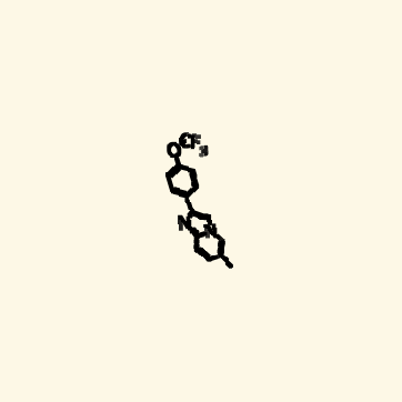 Cc1ccc2nc(-c3ccc(OC(F)(F)F)cc3)cn2c1